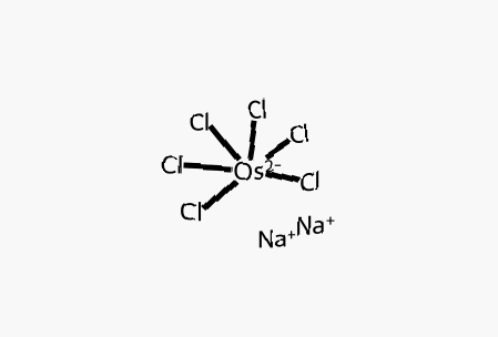 [Cl][Os-2]([Cl])([Cl])([Cl])([Cl])[Cl].[Na+].[Na+]